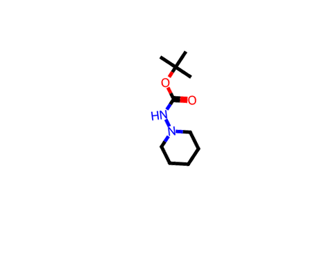 CC(C)(C)OC(=O)NN1CCCCC1